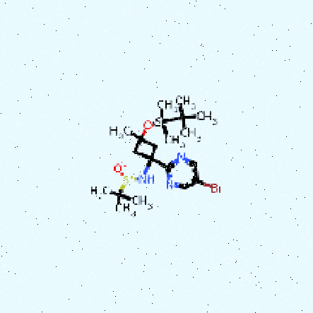 CC1(O[Si](C)(C)C(C)(C)C)CC(N[S@@+]([O-])C(C)(C)C)(c2ncc(Br)cn2)C1